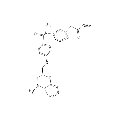 COC(=O)Cc1cccc(N(C)C(=O)c2ccc(OC[C@@H]3CN(C)c4ccccc4O3)cc2)c1